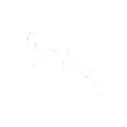 COc1cc(C(=O)O)ccc1NSc1ccc(-c2cnn(C3CCCCC3)c2)cc1F